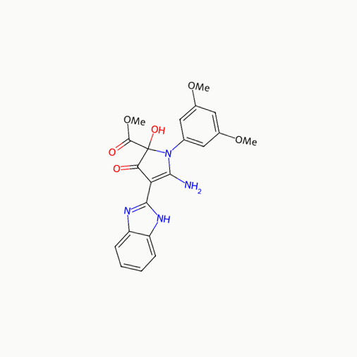 COC(=O)C1(O)C(=O)C(c2nc3ccccc3[nH]2)=C(N)N1c1cc(OC)cc(OC)c1